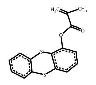 C=C(C)C(=O)Oc1cccc2c1Sc1ccccc1S2